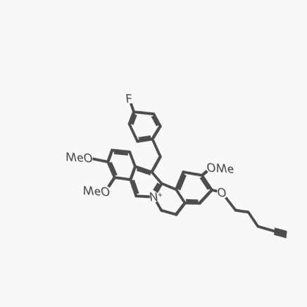 C#CCCCOc1cc2c(cc1OC)-c1c(Cc3ccc(F)cc3)c3ccc(OC)c(OC)c3c[n+]1CC2